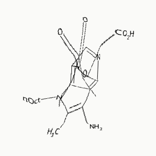 CCCCCCCCn1c(C)c(N)c2c3ncc(c21)C(=O)C(=O)C(C(=O)O)O3